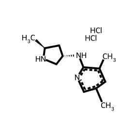 Cc1cnc(N[C@@H]2CN[C@@H](C)C2)c(C)c1.Cl.Cl